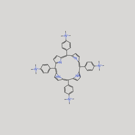 C[N+](C)(C)c1ccc(-c2c3nc(c(-c4ccc([N+](C)(C)C)cc4)c4ccc([nH]4)c(-c4ccc([N+](C)(C)C)cc4)c4ccc([nH]4)c(-c4ccc([N+](C)(C)C)cc4)c4nc2C=C4)C=C3)cc1